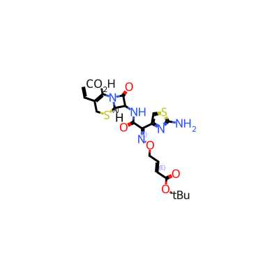 C=CC1=C(C(=O)O)N2C(=O)C(NC(=O)/C(=N/OC/C=C/C(=O)OC(C)(C)C)c3csc(N)n3)[C@H]2SC1